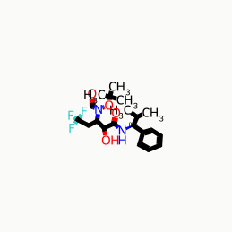 CC(C)[C@H](NC(=O)C(O)C(CC(F)(F)F)N(C=O)OC(C)(C)C)c1ccccc1